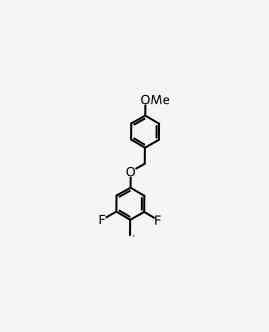 [CH2]c1c(F)cc(OCc2ccc(OC)cc2)cc1F